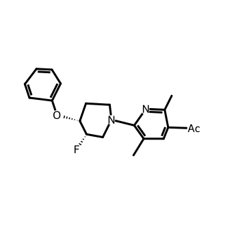 CC(=O)c1cc(C)c(N2CC[C@@H](Oc3ccccc3)[C@@H](F)C2)nc1C